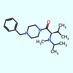 CC(C)[C@H](C(=O)N1CCN(Cc2ccccc2)CC1)N(C)C(C)C